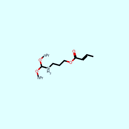 CC=CC(=O)OCCC[SiH2]C(OCCC)OCCC